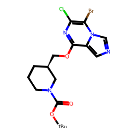 CC(C)(C)OC(=O)N1CCC[C@@H](COc2nc(Cl)c(Br)n3cncc23)C1